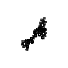 COc1ccc(Cl)c(Oc2c(NS(=O)(=O)c3ccc(C(C)(C)C)cc3)ncnc2OCCOC(=O)NOc2ccccc2OC)c1